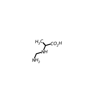 CC(NCN)C(=O)O